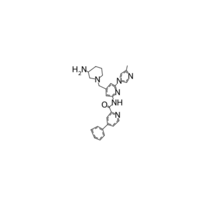 Cc1cn(-c2cc(CN3CCCC(N)C3)cc(NC(=O)c3cc(-c4ccccc4)ccn3)n2)cn1